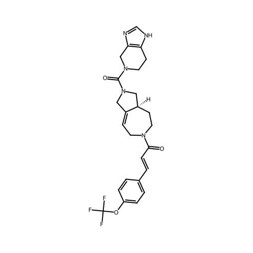 O=C(/C=C/c1ccc(OC(F)(F)F)cc1)N1CC=C2CN(C(=O)N3CCc4[nH]cnc4C3)C[C@H]2CC1